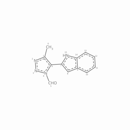 Cc1nnn(C=O)c1-c1cc2ccccc2[nH]1